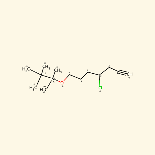 C#CCC(Cl)CCCO[Si](C)(C)C(C)(C)C